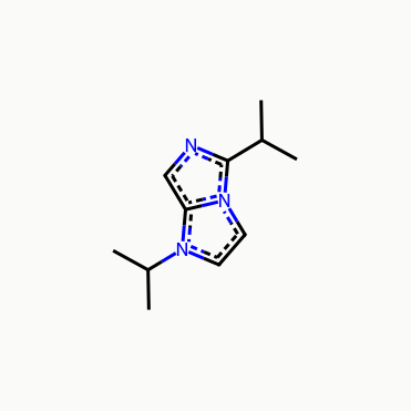 CC(C)c1ncc2n(C(C)C)ccn12